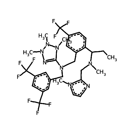 CCC(c1ccc(C(F)(F)F)cc1CN(Cc1cc(C(F)(F)F)cc(C(F)(F)F)c1)C1=NN(C)N(C)N1C)N(C)Cc1nccn1C